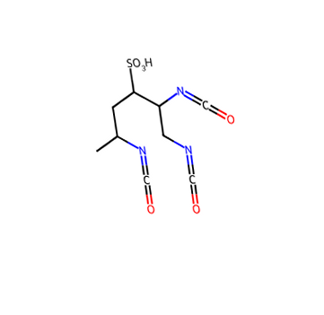 CC(CC(C(CN=C=O)N=C=O)S(=O)(=O)O)N=C=O